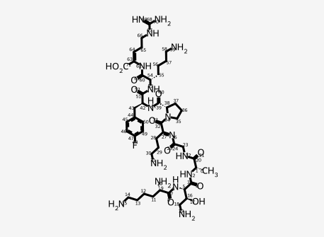 C[C@H](NC(=O)[C@@H](NC(=O)[C@@H](N)CCCCN)[C@@H](O)CN)C(=O)NCC(=O)/N=C(\CCCN)C(=O)N1CCC[C@H]1C(=O)N[C@@H](Cc1ccc(F)cc1)C(=O)N[C@@H](CCCCN)C(=O)N/C(=C\CCNC(=N)N)C(=O)O